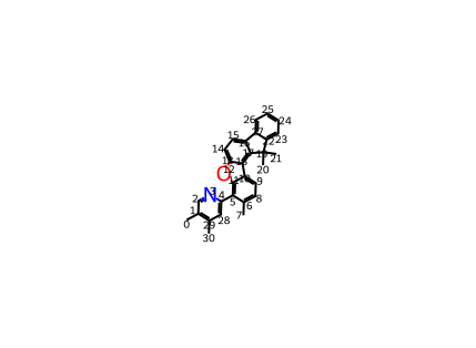 Cc1cnc(-c2c(C)ccc3c2oc2ccc4c(c23)C(C)(C)c2ccccc2-4)cc1C